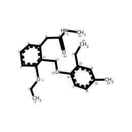 CCOc1cccc(CC(=O)NC)c1COc1ccc(C)cc1CC